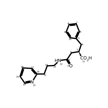 O=C(C[C@@H](Cc1ccccc1)C(=O)O)NCCCc1ccccn1